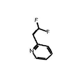 FC(F)Cc1ccc[c]n1